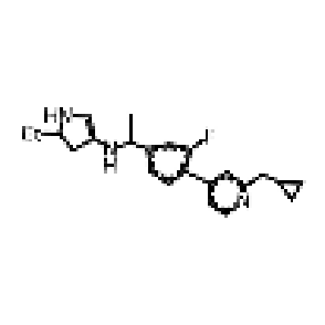 CCC1CC(NC(C)c2ccc(-c3ccnc(CC4CC4)c3)c(F)c2)=CN1